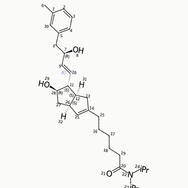 Cc1cccc(C[C@@H](O)/C=C/[C@@H]2[C@H]3CC(CCCCCC(=O)N(C(C)C)C(C)C)=C[C@H]3C[C@H]2O)c1